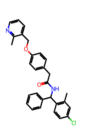 Cc1cc(Cl)ccc1C(NC(=O)Cc1ccc(OCc2cccnc2C)cc1)c1ccccc1